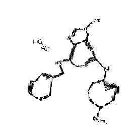 CC(C)n1cnc2c(NCc3ccccc3)nc(NC3CCC(N)CC3)nc21.Cl.Cl